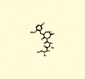 CC[C@@H](NC(=O)N1CC(=O)NCC(Cc2cc(Cl)ccc2OC)C1=O)C(=O)N[C@@H](CC(C)C)C(C)=O